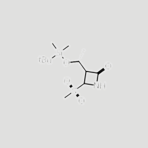 C[C@@H](O[Si](C)(C)C(C)(C)C)C1C(=O)NC1S(C)(=O)=O